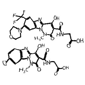 Cn1c(=O)c(C(=O)NCC(=O)O)c(O)c2nc3cc(C(F)(F)F)c(N4CCOCC4)cc3n21.Cn1c(=O)c(C(=O)NCC(=O)O)c(O)c2nc3ccc(Cl)cc3n21